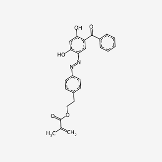 C=C(C)C(=O)OCCc1ccc(N=Nc2cc(C(=O)c3ccccc3)c(O)cc2O)cc1